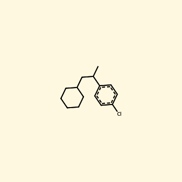 CC(CC1CCCCC1)c1ccc(Cl)cc1